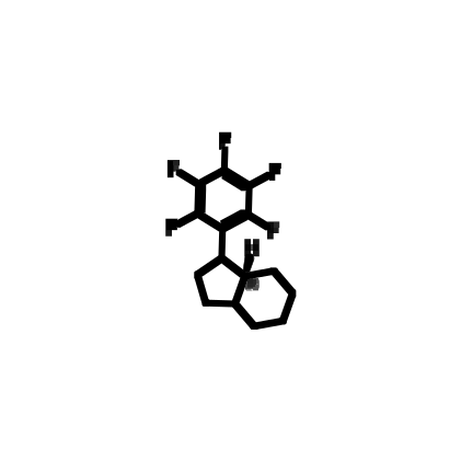 Fc1c(F)c(F)c(C2CCC3CCCC[C@H]32)c(F)c1F